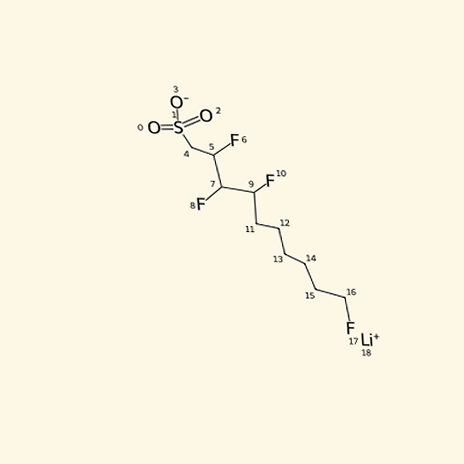 O=S(=O)([O-])CC(F)C(F)C(F)CCCCCCF.[Li+]